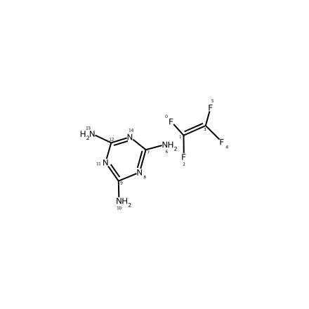 FC(F)=C(F)F.Nc1nc(N)nc(N)n1